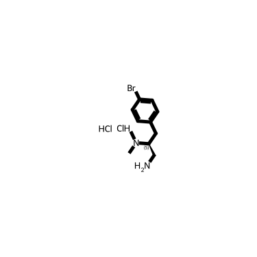 CN(C)[C@H](CN)Cc1ccc(Br)cc1.Cl.Cl